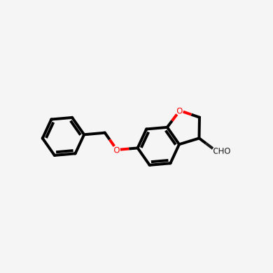 O=CC1COc2cc(OCc3ccccc3)ccc21